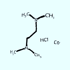 CN(C)CCN(C)C.Cl.[Co]